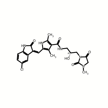 Cc1[nH]c(C=C2C(=O)Nc3ccc(Cl)cc32)c(C)c1C(=O)NC[C@@H](O)CN1C(=O)CN(C)C1=O